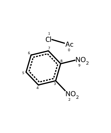 CC(=O)Cl.O=[N+]([O-])c1ccccc1[N+](=O)[O-]